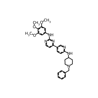 COc1cc(Nc2nccc(-c3ccc(NC4CCN(Cc5ccccc5)CC4)nc3)n2)cc(OC)c1OC